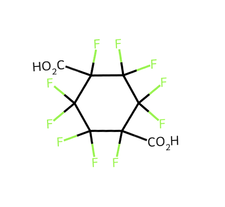 O=C(O)C1(F)C(F)(F)C(F)(F)C(F)(C(=O)O)C(F)(F)C1(F)F